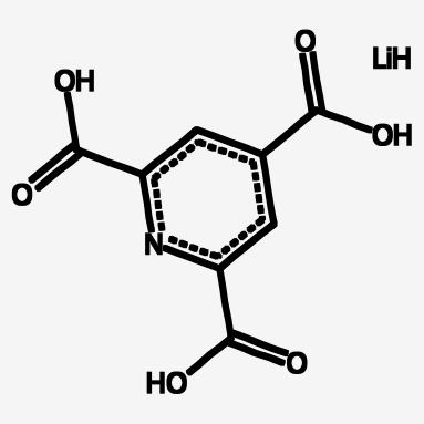 O=C(O)c1cc(C(=O)O)nc(C(=O)O)c1.[LiH]